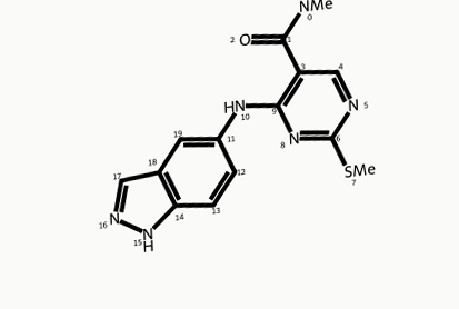 CNC(=O)c1cnc(SC)nc1Nc1ccc2[nH]ncc2c1